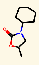 CC1CN(C2CCCCC2)C(=O)O1